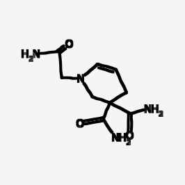 NC(=O)CN1C=CCC(C(N)=O)(C(N)=O)C1